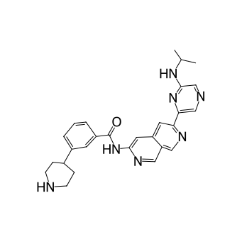 CC(C)Nc1cncc(-c2cc3cc(NC(=O)c4cccc(C5CCNCC5)c4)ncc3cn2)n1